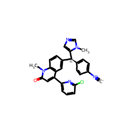 [C-]#[N+]c1ccc([C@@H](c2ccc3c(c2)c(-c2cccc(Cl)n2)cc(=O)n3C)c2cncn2C)cc1